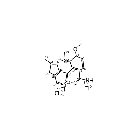 COC1C=CC(C(=O)[NH][Ti+2])=C(c2cccc3c2C=C(C)C3)C1=[Si](C)C.[Cl-].[Cl-]